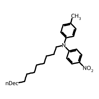 [CH2]CCCCCCCCCCCCCCCCCN(c1ccc(C)cc1)c1ccc([N+](=O)[O-])cc1